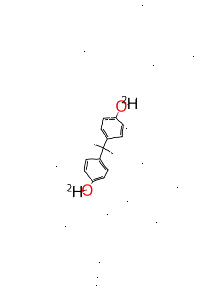 [2H]Oc1ccc(C(C)(C)c2ccc(O[2H])cc2)cc1